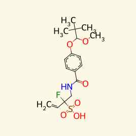 C=CC(F)(CNC(=O)c1ccc(OC(OC)C(C)(C)C)cc1)S(=O)(=O)O